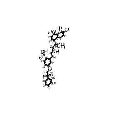 O=CO.O=c1ccc2c([C@@H](O)CNCCc3cccc(OCC(F)(F)c4ccccc4)c3)ccc(O)c2[nH]1